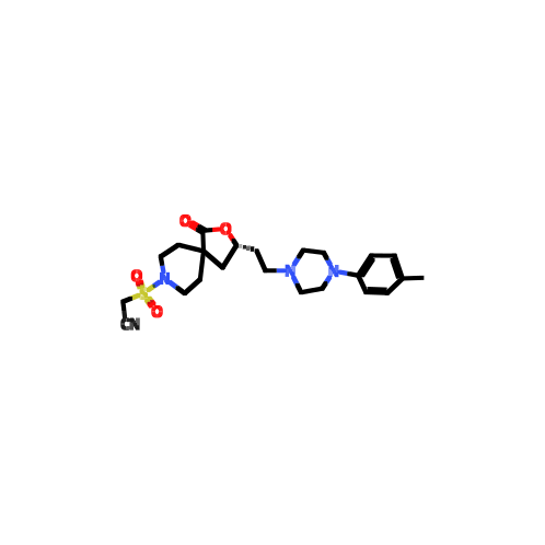 Cc1ccc(N2CCN(CC[C@@H]3CC4(CCN(S(=O)(=O)CC#N)CC4)C(=O)O3)CC2)cc1